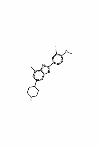 COc1ccc(-c2cn3cc(C4CCNCC4)cc(C)c3n2)cc1F